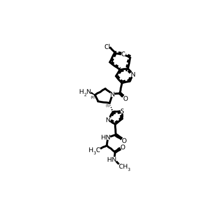 CNC(=O)C(C)NC(=O)c1csc([C@@H]2C[C@@H](N)CN2C(=O)c2cnc3ccc(Cl)cc3c2)n1